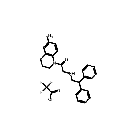 Cc1ccc2c(c1)CCCN2C(=O)CNCC(c1ccccc1)c1ccccc1.O=C(O)C(F)(F)F